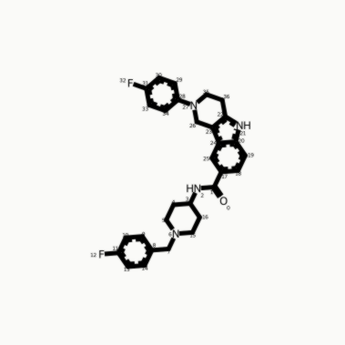 O=C(NC1CCN(Cc2ccc(F)cc2)CC1)c1ccc2[nH]c3c(c2c1)CN(c1ccc(F)cc1)CC3